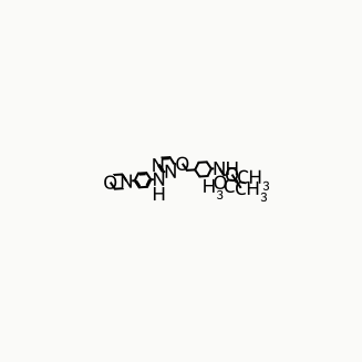 CC(C)(C)OC(=O)NC1CCC(COc2ccnc(Nc3ccc(N4CCOCC4)cc3)n2)CC1